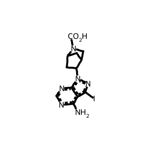 Nc1ncnc2c1c(I)nn2C1CC2CC1CN2C(=O)O